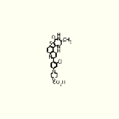 C[C@@H]1CNc2c(sc3ccc4nc(-c5ccc(N6CCN(C(=O)O)CC6)cc5Cl)ccc4c23)C(=O)N1